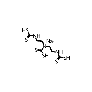 S=C(S)NCCN(CCNC(=S)S)C(=S)S.[Na]